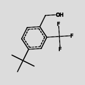 CC(C)(C)c1ccc(CO)c(C(F)(F)F)c1